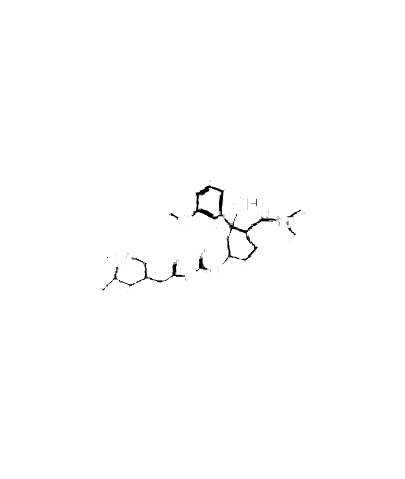 COc1cccc(C2(O)CC(OC(=O)OC(=O)CC(CN)CC(C)C)CCC2CN(C)C)c1